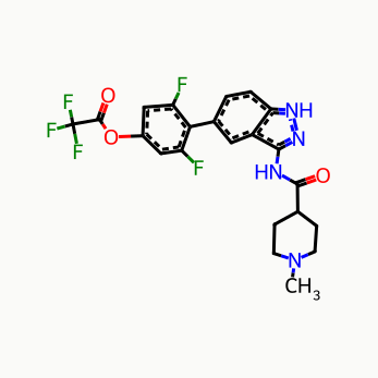 CN1CCC(C(=O)Nc2n[nH]c3ccc(-c4c(F)cc(OC(=O)C(F)(F)F)cc4F)cc23)CC1